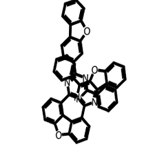 c1ccc(-c2nc(-c3ccc4c(c3)oc3ccccc34)nc(-c3cccc4oc5cccc(-c6nc(-c7ccccc7)c7oc8ccccc8c7n6)c5c34)n2)cc1